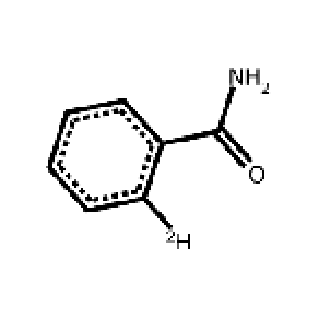 [2H]c1ccccc1C(N)=O